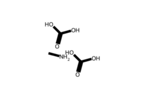 CN.O=C(O)O.O=C(O)O